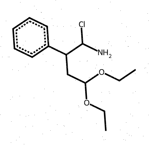 CCOC(CC(c1ccccc1)C(N)Cl)OCC